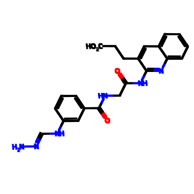 NN=CNc1cccc(C(=O)NCC(=O)Nc2nc3ccccc3cc2CCC(=O)O)c1